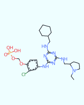 CCN1CCCC1CNc1nc(NCC2CCCCC2)nc(Nc2ccc(OCOP(=O)(O)O)c(Cl)c2)n1